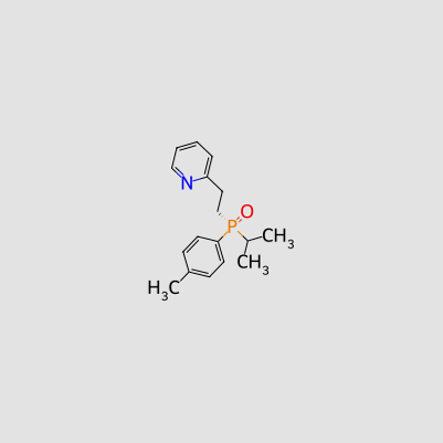 Cc1ccc([P@](=O)(CCc2ccccn2)C(C)C)cc1